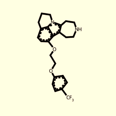 FC(F)(F)c1ccc(OCCOc2ccc3c4c2c2c(n4CCC3)CCNCC2)cc1